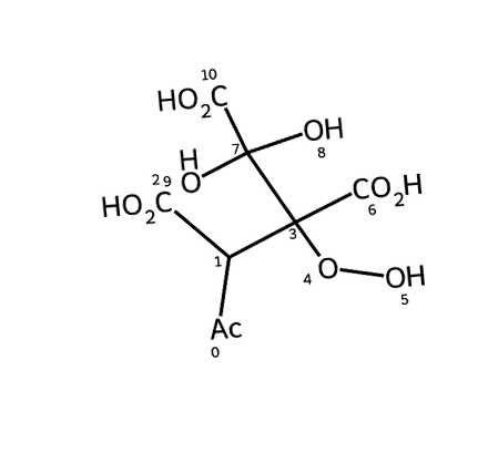 CC(=O)C(C(=O)O)C(OO)(C(=O)O)C(O)(O)C(=O)O